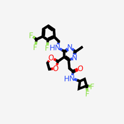 Cc1nc(CC(=O)NC2CC(F)(F)C2)c(C2OCCO2)c(NCc2cccc(C(F)F)c2F)n1